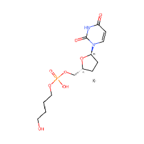 O=c1ccn([C@H]2CC[C@H](COP(=O)(O)OCCCCO)O2)c(=O)[nH]1.[K]